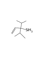 C=CC([SiH3])(C(C)C)C(C)C